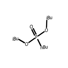 CCCCP(=O)(OC(C)CC)OC(C)CC